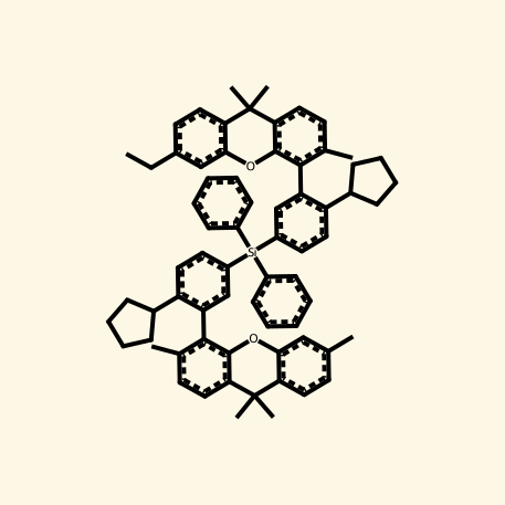 CCc1ccc2c(c1)Oc1c(ccc(C)c1-c1cc([Si](c3ccccc3)(c3ccccc3)c3ccc(C4CCCC4)c(-c4c(C)ccc5c4Oc4cc(C)ccc4C5(C)C)c3)ccc1C1CCCC1)C2(C)C